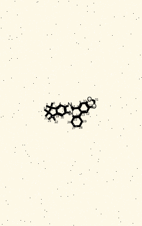 CC1(C)c2cc3nc4c5cc6c(cc5c5c(n4c3cc2C(C)(C)C1(C)C)CCCC5)OCO6